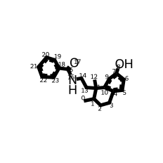 CC1CCc2ccc(O)cc2C1(C)CCNC(=O)c1ccccc1